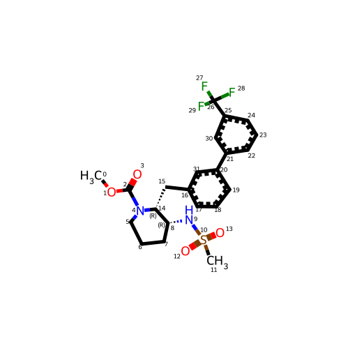 COC(=O)N1CCC[C@@H](NS(C)(=O)=O)[C@H]1Cc1cccc(-c2cccc(C(F)(F)F)c2)c1